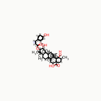 C[C@@H]1CC[C@]2(C(=O)O)CC[C@]3(C)C(=CC[C@@H]4[C@@]5(C)C[C@@H](O)[C@H](OC(=O)/C=C\c6ccc(O)cc6)C(C)(C)C5CC[C@]43C)[C@@H]2[C@]1(C)O